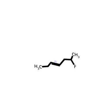 CC/C=C/CC(C)F